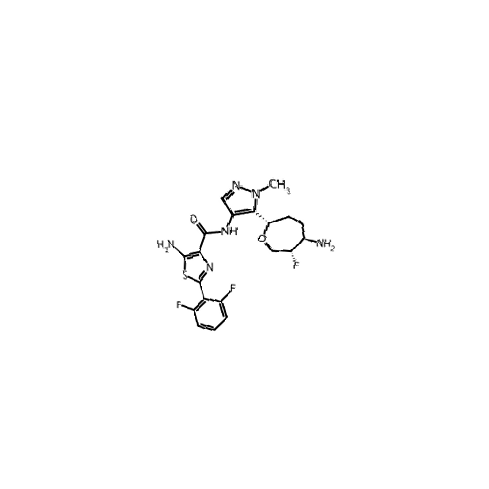 Cn1ncc(NC(=O)c2nc(-c3c(F)cccc3F)sc2N)c1[C@@H]1CC[C@@H](N)[C@H](F)CO1